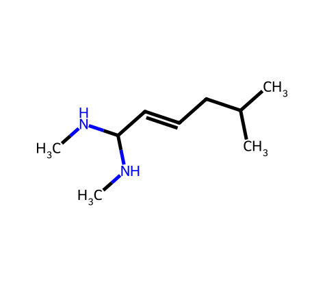 CNC(/C=C/CC(C)C)NC